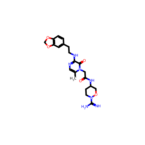 Cc1cnc(NCCc2ccc3c(c2)OCO3)c(=O)n1CC(=O)NC1CCN(C(=N)N)OC1